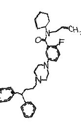 C=CCN(C(=O)c1cc(N2CCN(CCC(c3ccccc3)c3ccccc3)CC2)ccc1F)C1CCCCC1